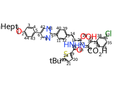 CCCCCCCOc1ccc(-c2cnc(-c3ccc(C[C@H](NC(=O)c4ccc(C(C)(C)C)s4)C(=O)NC(C(=O)O)C(O)c4cccc(Cl)c4)cc3)nc2)cc1